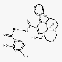 CC[C@@]12C=C(C(=O)OC)n3c4c(c5ccccc53)CCN(CCC1)[C@H]42.O=C(O)c1ccc(O)cc1O